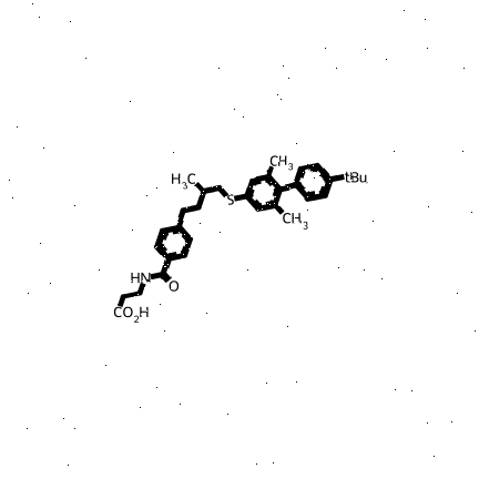 Cc1cc(SCC(C)CCc2ccc(C(=O)NCCC(=O)O)cc2)cc(C)c1-c1ccc(C(C)(C)C)cc1